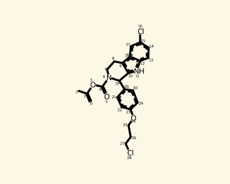 C=C(C)OC(=O)N1CCc2c([nH]c3ccc(Cl)cc23)C1c1ccc(OCCCCl)cc1